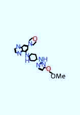 COCCOc1ccnc(N[C@H]2CC[C@@H](Nc3cc(N4CCOCC4)cc4nccnc34)CC2)n1